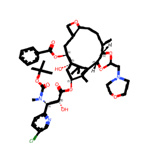 CC1=C2[C@H]3OC(CN4CCOCC4)O[C@H]3C(C)CCC3OCC3C[C@H](OC(=O)c3ccccc3)[C@](O)(C[C@@H]1OC(=O)[C@H](O)[C@H](c1ccc(Cl)cn1)N(C)C(=O)OC(C)(C)C)C2(C)C